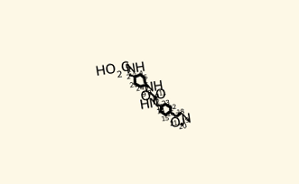 O=C(O)NCc1ccc(NC(=O)C(=O)Nc2ccc(-c3cnco3)cc2)cc1